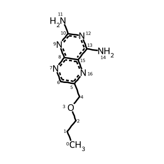 CCCOCc1cnc2nc(N)nc(N)c2n1